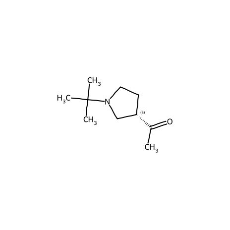 CC(=O)[C@H]1CCN(C(C)(C)C)C1